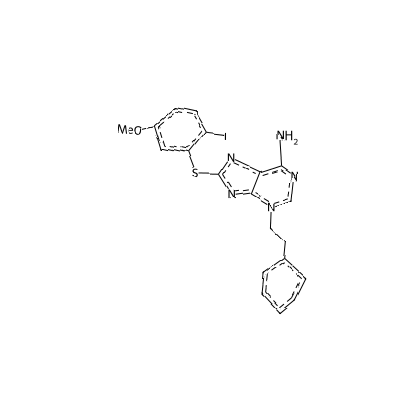 COc1ccc(I)c(Sc2nc3c(N)ncn(CCc4ccccc4)c-3n2)c1